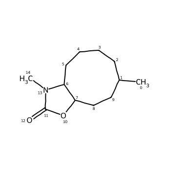 CC1CCCCC2C(CC1)OC(=O)N2C